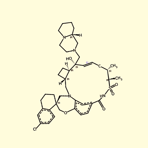 C[C@@H]1[C@@H](C)C/C=C/[C@](O)(CN2CCN3CCCC[C@@H]3C2)[C@@H]2CC[C@H]2CN2C[C@@]3(CCCc4cc(Cl)ccc43)COc3ccc(cc32)C(=O)NS1(=O)=O